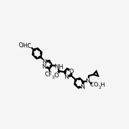 O=Cc1ccc(-n2cc(NC(=O)c3coc(-c4ccnc(N(CC5CC5)C(=O)O)c4)n3)c(C(F)(F)F)n2)cc1